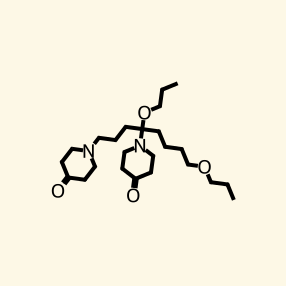 CCCOCCCCC(CCCN1CCC(=O)CC1)(OCCC)N1CCC(=O)CC1